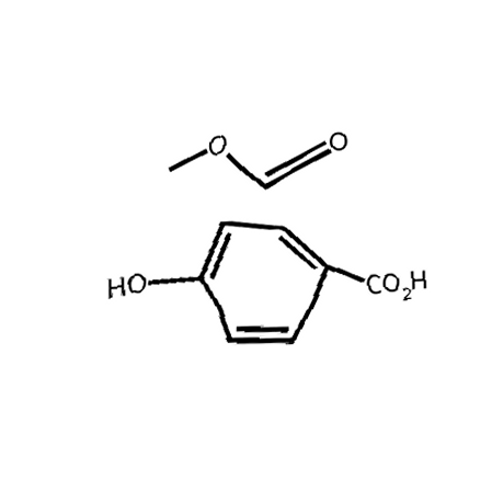 COC=O.O=C(O)c1ccc(O)cc1